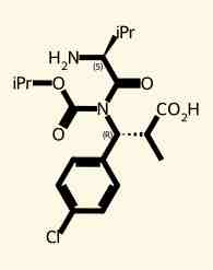 CC(C)OC(=O)N(C(=O)[C@@H](N)C(C)C)[C@@H](c1ccc(Cl)cc1)C(C)C(=O)O